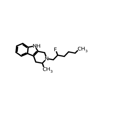 CCCCC(F)CN1Cc2[nH]c3ccccc3c2CC1C